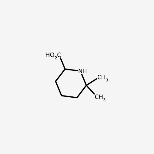 CC1(C)CCCC(C(=O)O)N1